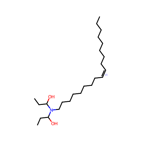 CCCCCCCC/C=C\CCCCCCCCN(C(O)CC)C(O)CC